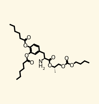 CCCCCC(=O)Oc1ccc(C[C@H](N)C(=O)O[C@@H](C)COC(=O)OCCCC)cc1OC(=O)CCCCC